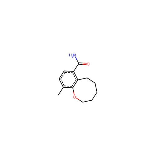 Cc1ccc(C(N)=O)c2c1OCCCCC2